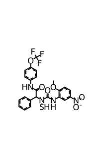 COc1ccc([N+](=O)[O-])cc1NC(=O)N(S)C(C(=O)Nc1ccc(OC(F)(F)F)cc1)c1ccccc1